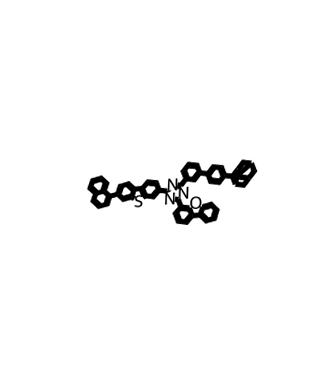 c1cc(-c2ccc(C3C4CC5CC(C4)CC3C5)cc2)cc(-c2nc(-c3ccc4c(c3)sc3cc(-c5cccc6ccccc56)ccc34)nc(-c3cccc4c3oc3ccccc34)n2)c1